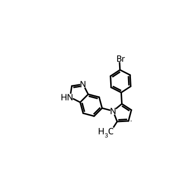 Cc1[c]cc(-c2ccc(Br)cc2)n1-c1ccc2[nH]cnc2c1